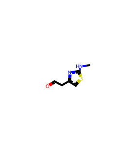 CNc1nc(C[C]=O)cs1